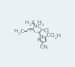 C=C/C=C(\C[C@H](C(C)Cl)n1nc(C#N)cc1C(=O)O)N=C